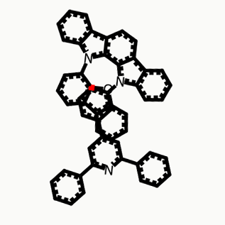 c1ccc(-c2cc(-c3cccc(-n4c5ccccc5c5ccc6c7ccccc7n(-c7cccc8c7oc7ccccc78)c6c54)c3)cc(-c3ccccc3)n2)cc1